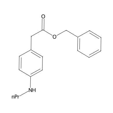 CCCNc1ccc(CC(=O)OCc2ccccc2)cc1